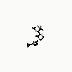 CC(=O)O[C@@H](C(=O)O)C1OCCN(c2ccn(C3CC3)n2)C1=O